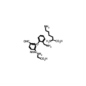 CC(=O)Nc1ccc(C=O)cc1.COc1ccccc1CN.NCC(=O)O.NCCCC[C@H](N)C(=O)O